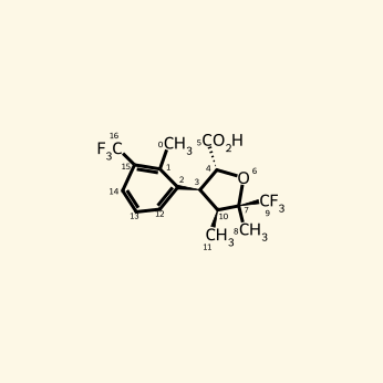 Cc1c([C@H]2[C@H](C(=O)O)O[C@@](C)(C(F)(F)F)[C@H]2C)cccc1C(F)(F)F